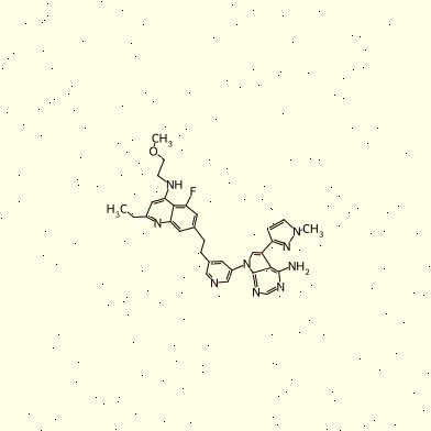 CCc1cc(NCCOC)c2c(F)cc(CCc3cncc(-n4cc(-c5ccn(C)n5)c5c(N)ncnc54)c3)cc2n1